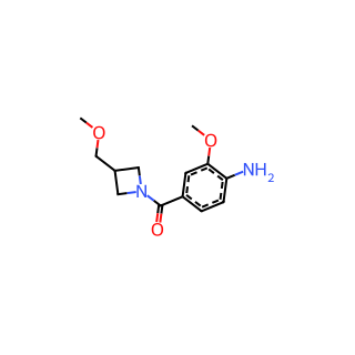 COCC1CN(C(=O)c2ccc(N)c(OC)c2)C1